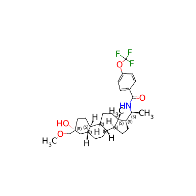 COC[C@@]1(O)CC[C@H]2[C@H](CC[C@@H]3[C@@H]2CC[C@]2(C)[C@@H]([C@H](C)NC(=O)c4ccc(OC(F)(F)F)cc4)CC[C@@H]32)C1